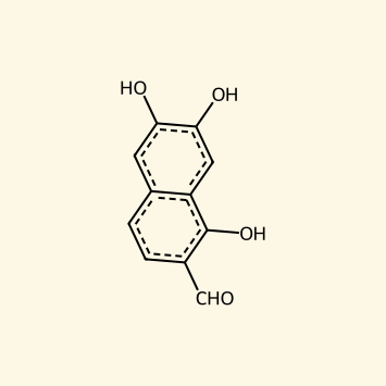 O=Cc1ccc2cc(O)c(O)cc2c1O